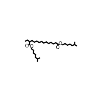 CCC(CCCCCCCCCCCC(=O)OCCCCCC(C)C)C(=O)OCCCCCC(C)C